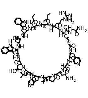 CCCC[C@H]1C(=O)N(C)[C@@H](CCCC)C(=O)N[C@@H](CCCNC(=N)N)C(=O)N[C@H](C(=O)NCC(N)=O)CSCC(=O)N[C@@H](Cc2ccncc2)C(=O)N(C)[C@@H](C)C(=O)N[C@@H](CC(N)=O)C(=O)N2CCC[C@H]2C(=O)N[C@@H](Cc2cnc[nH]2)C(=O)N[C@@H](CC(C)C)C(=O)N2C[C@H](O)CC2C(=O)N[C@@H](Cc2c[nH]c3ccccc23)C(=O)N[C@@H](CO)C(=O)N[C@@H](Cc2c[nH]c3ccccc23)C(=O)N1C